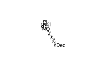 CCCCCCCCCCCCCCCCCCOc1nnnc(Cl)c1Cl